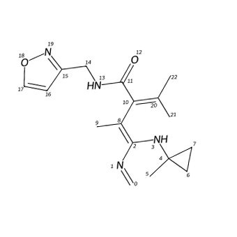 C=N/C(NC1(C)CC1)=C(\C)C(C(=O)NCc1ccon1)=C(C)C